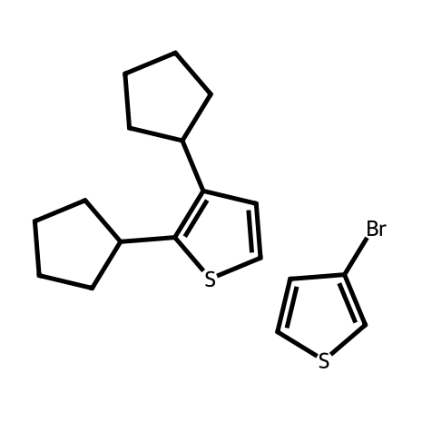 Brc1ccsc1.c1cc(C2CCCC2)c(C2CCCC2)s1